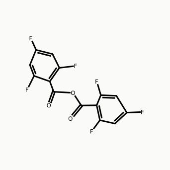 O=C(OC(=O)c1c(F)cc(F)cc1F)c1c(F)cc(F)cc1F